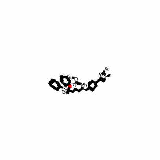 CC(=O)c1nc(-c2ccc(C[C@@H](CCCC(C)(C)[Si](O)(c3ccccc3)c3ccccc3)NC(=O)OC(C)(C)C)cc2)cn1C